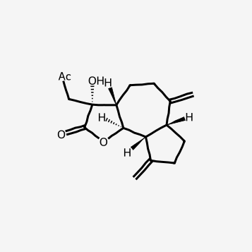 C=C1CC[C@H]2C(=C)CC[C@@H]3[C@H](OC(=O)[C@@]3(O)CC(C)=O)[C@@H]12